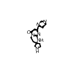 O=c1cc(-c2ccncn2)nc2n1CCC1(CCNC1)N2